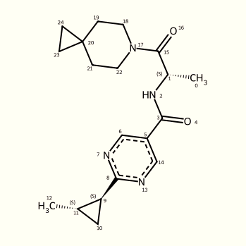 C[C@H](NC(=O)c1cnc([C@H]2C[C@@H]2C)nc1)C(=O)N1CCC2(CC1)CC2